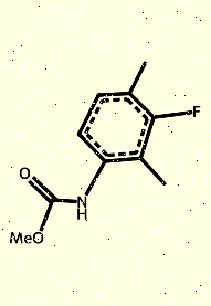 COC(=O)Nc1ccc(C)c(F)c1C